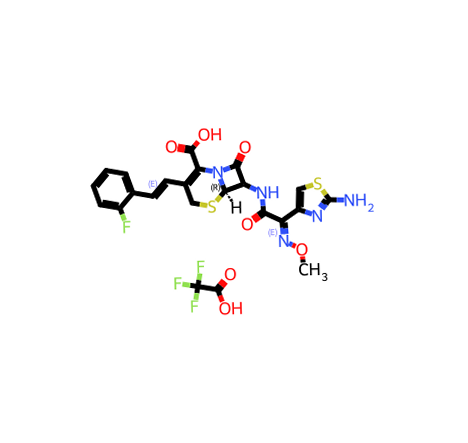 CO/N=C(/C(=O)NC1C(=O)N2C(C(=O)O)=C(/C=C/c3ccccc3F)CS[C@H]12)c1csc(N)n1.O=C(O)C(F)(F)F